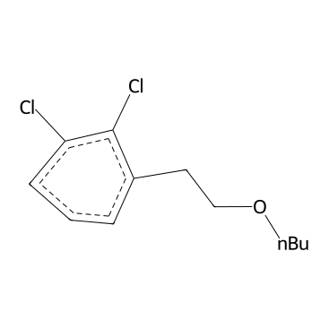 CCCCOCCc1cccc(Cl)c1Cl